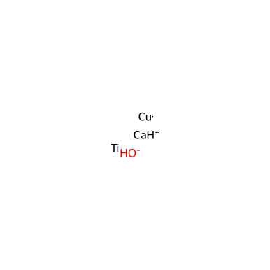 [CaH+].[Cu].[OH-].[Ti]